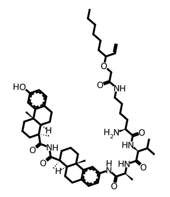 C=CC(CCCCCC)OCC(=O)NCCCC[C@H](N)C(=O)N[C@H](C(=O)N[C@@H](C)C(=O)Nc1ccc2c(c1)[C@@]1(C)CCC[C@](C)(C(=O)NC(=O)[C@@]3(C)CCC[C@]4(C)c5cc(O)ccc5CC[C@@H]34)[C@@H]1CC2)C(C)C